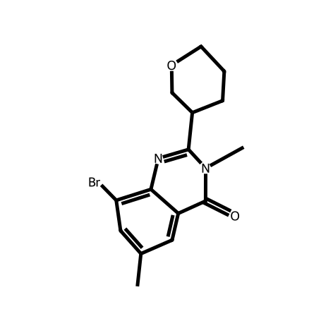 Cc1cc(Br)c2nc(C3CCCOC3)n(C)c(=O)c2c1